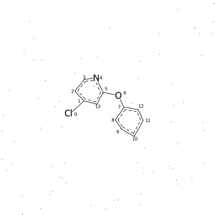 Clc1ccnc(Oc2ccccc2)c1